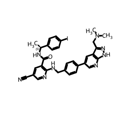 C[C@H](NC(=O)c1cc(C#N)cnc1NCc1ccc(-c2cnc3[nH]nc(CN(C)C)c3c2)cc1)c1ccc(I)cc1